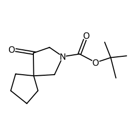 CC(C)(C)OC(=O)N1CC(=O)C2(CCCC2)C1